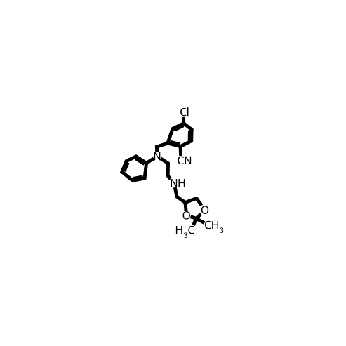 CC1(C)OCC(CNCCN(Cc2cc(Cl)ccc2C#N)c2ccccc2)O1